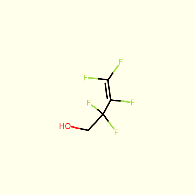 OCC(F)(F)C(F)=C(F)F